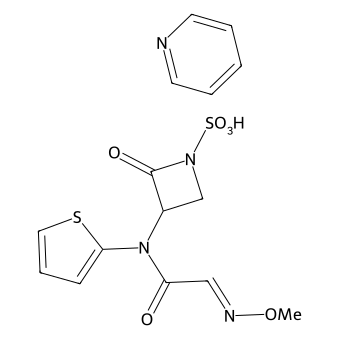 CON=CC(=O)N(c1cccs1)C1CN(S(=O)(=O)O)C1=O.c1ccncc1